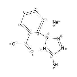 O=C([O-])c1ccccc1-n1nnc(S)n1.[Na+]